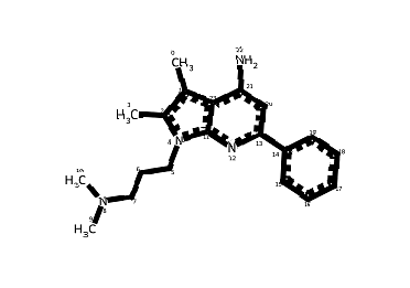 Cc1c(C)n(CCCN(C)C)c2nc(-c3ccccc3)cc(N)c12